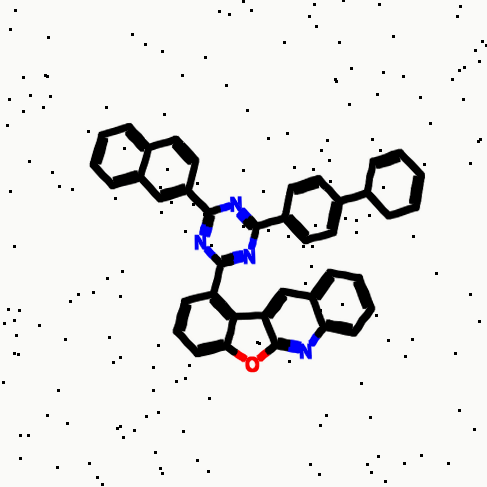 C1=CCC(c2ccc(-c3nc(-c4ccc5ccccc5c4)nc(-c4cccc5oc6nc7ccccc7cc6c45)n3)cc2)C=C1